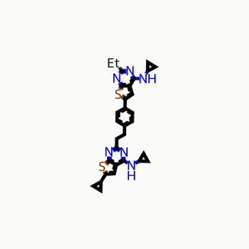 CCc1nc(NC2CC2)c2cc(-c3ccc(CCc4nc(NC5CC5)c5cc(C6CC6)sc5n4)cc3)sc2n1